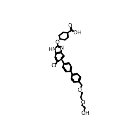 O=C(O)C1CCC(Oc2nc3cc(-c4ccc(-c5ccc(COCCOCCO)cc5)cc4)c(Cl)cc3[nH]2)CC1